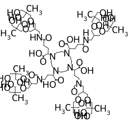 CC(CO)(CO)COCC(CNC(=O)CCC(C(=O)O)N1CCN(C(CCC(=O)NCC(COCC(C)(CO)CO)COCC(C)(CO)CO)C(=O)O)CCN(C(CCN(C=O)CC(COCC(C)(CO)CO)COCC(C)(CO)CO)C(=O)O)CCN(C(CCN(C=O)CC(COCC(C)(CO)CO)COCC(C)(CO)CO)C(=O)O)CC1)COCC(C)(CO)CO